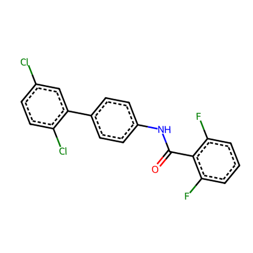 O=C(Nc1ccc(-c2cc(Cl)ccc2Cl)cc1)c1c(F)cccc1F